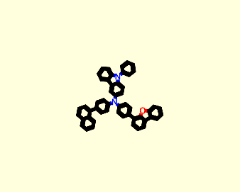 c1ccc(-n2c3ccccc3c3cc(N(c4ccc(-c5cccc6ccccc56)cc4)c4ccc(-c5cccc6c5oc5ccccc56)cc4)ccc32)cc1